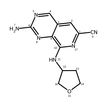 N#Cc1cc2cnc(N)nc2c(NC2CCOC2)n1